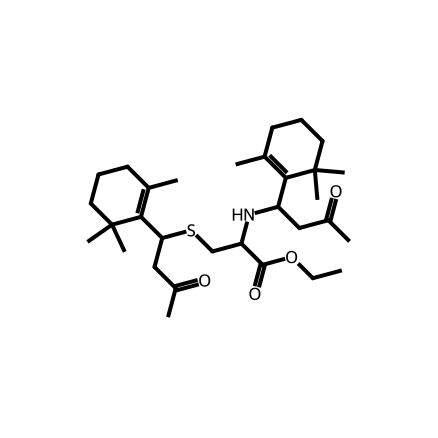 CCOC(=O)C(CSC(CC(C)=O)C1=C(C)CCCC1(C)C)NC(CC(C)=O)C1=C(C)CCCC1(C)C